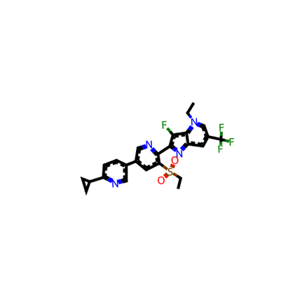 CCn1cc(C(F)(F)F)cc2nc(-c3ncc(-c4ccc(C5CC5)nc4)cc3S(=O)(=O)CC)c(F)c1-2